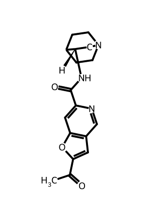 CC(=O)c1cc2cnc(C(=O)N[C@H]3CN4CCC3CC4)cc2o1